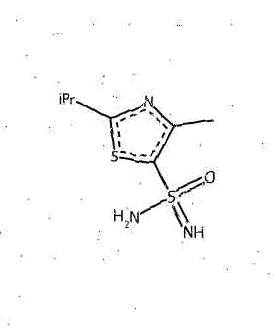 Cc1nc(C(C)C)sc1S(=N)(N)=O